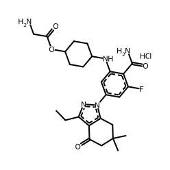 CCc1nn(-c2cc(F)c(C(N)=O)c(NC3CCC(OC(=O)CN)CC3)c2)c2c1C(=O)CC(C)(C)C2.Cl